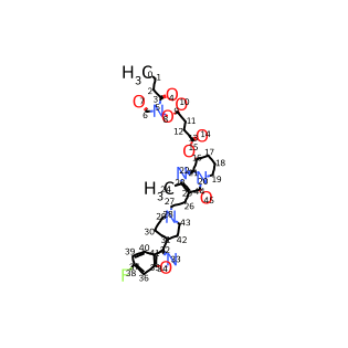 CCCC(=O)N(C=O)OC(=O)CCC(=O)OC1CCCn2c1nc(C)c(CCN1CCC(c3noc4cc(F)ccc34)CC1)c2=O